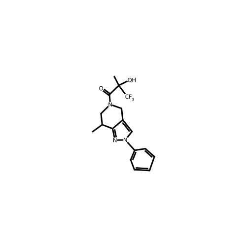 CC1CN(C(=O)C(C)(O)C(F)(F)F)Cc2cn(-c3ccccc3)nc21